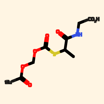 CC(SC(=O)OCOC(=O)C(C)(C)C)C(=O)NCC(=O)O